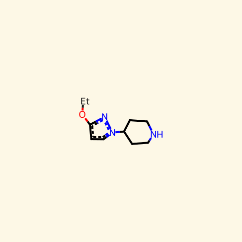 CCOc1ccn(C2CCNCC2)n1